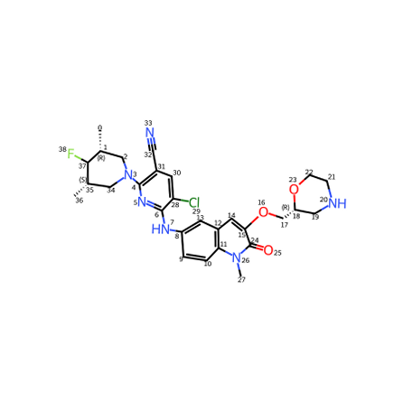 C[C@@H]1CN(c2nc(Nc3ccc4c(c3)cc(OC[C@H]3CNCCO3)c(=O)n4C)c(Cl)cc2C#N)C[C@H](C)C1F